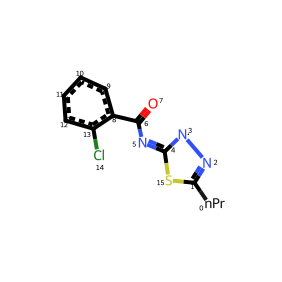 CCCC1=N[N]C(=NC(=O)c2ccccc2Cl)S1